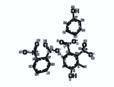 Cc1c(O)ccc([N+](=O)[O-])c1[N+](=O)[O-].O=[N+]([O-])c1ccccc1[N+](=O)[O-].Oc1ccccc1